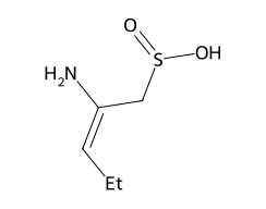 CC/C=C(/N)CS(=O)O